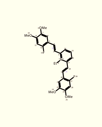 CC[n+]1c(/C=C/c2cc(OC)c(OC)cc2F)cccc1/C=C/c1cc(OC)c(OC)cc1F